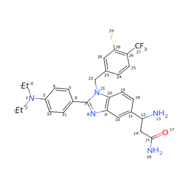 [CH2][CH]N([CH][CH2])c1ccc(-c2nc3cc(C(N)CC(N)=O)ccc3n2Cc2ccc(C(F)(F)F)c(F)c2)cc1